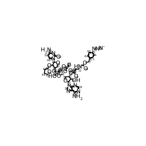 [N-]=[N+]=Nc1ccc(COC(=O)NCCC(=O)O[C@H]2[C@@H](O)[C@H](n3cnc4c(N)ncnc43)O[C@@H]2COP(=O)(O)O[C@H]2[C@@H](OC3CCCO3)[C@H](n3ccc(N)nc3=O)O[C@@H]2COP(=O)(O)O)cc1